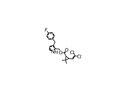 CC1(C)C(C=C(Cl)Cl)C1C(=O)OCc1[nH]ccc1Cc1ccc(F)cc1